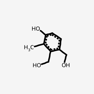 Cc1c(O)ccc(CO)c1CO